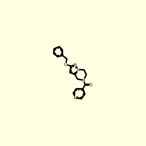 O=C(c1ccncc1)N1CCn2nc(OCc3ccccc3)cc2C1